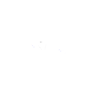 N[C@H]1CCc2ccc(N=O)cc2CC1